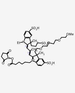 CCN1/C(=C/C(C)=C/C2=[N+](CCCCCC(=O)ON3C(=O)CCC3=O)c3ccc(S(=O)(=O)O)cc3C2(C)CCOCCOCCOCCOC)C(C)(CCCS(=O)(=O)O)c2cc(S(=O)(=O)O)ccc21